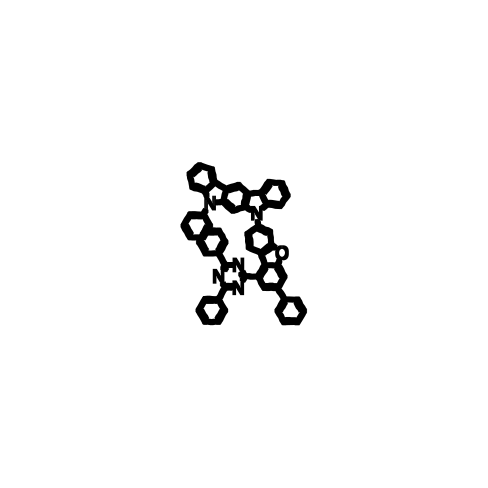 c1ccc(-c2cc(-c3nc(-c4ccccc4)nc(-c4ccccc4)n3)c3c(c2)oc2cc(-n4c5ccccc5c5cc6c7ccccc7n(-c7ccccc7)c6cc54)ccc23)cc1